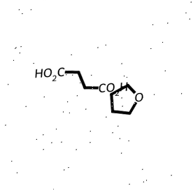 C1CCOC1.O=C(O)CCC(=O)O